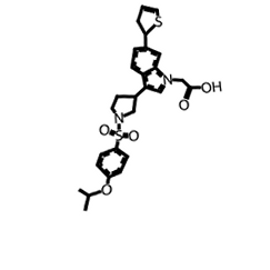 CC(C)Oc1ccc(S(=O)(=O)N2CCC(c3cn(CC(=O)O)c4cc(C5CC=CS5)ccc34)C2)cc1